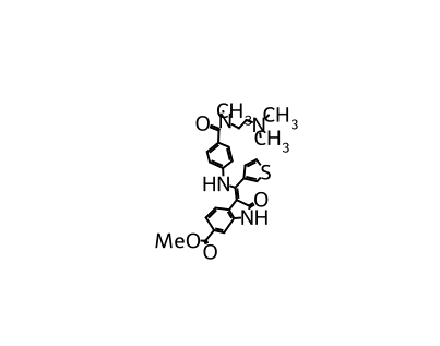 COC(=O)c1ccc2c(c1)NC(=O)C2=C(Nc1ccc(C(=O)N(C)CCN(C)C)cc1)c1ccsc1